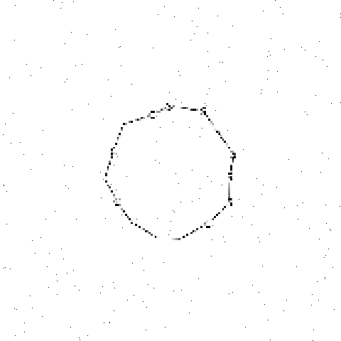 C1CCCCSSSSSSCCCC1